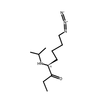 CCC(=O)[C@H](CCCCN=[N+]=[N-])NC(C)C